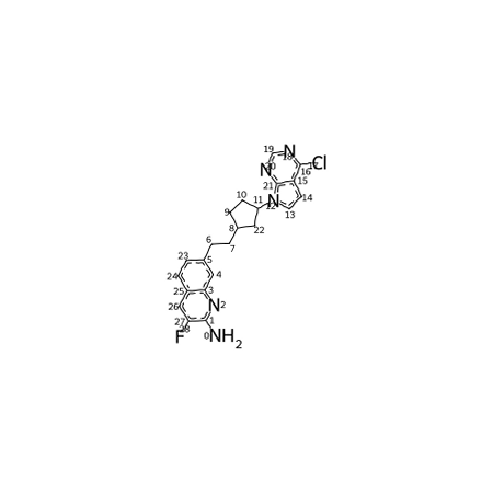 Nc1nc2cc(CCC3CCC(n4ccc5c(Cl)ncnc54)C3)ccc2cc1F